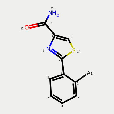 CC(=O)c1ccccc1-c1nc(C(N)=O)cs1